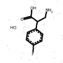 Cl.NCC(C(=O)O)c1ccc(F)cc1